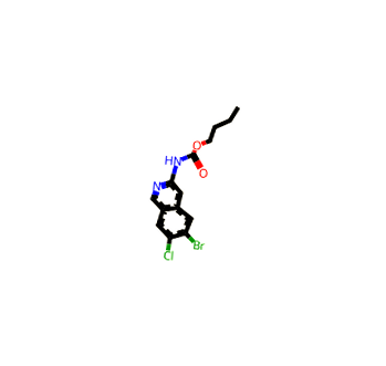 CCCCOC(=O)Nc1cc2cc(Br)c(Cl)cc2cn1